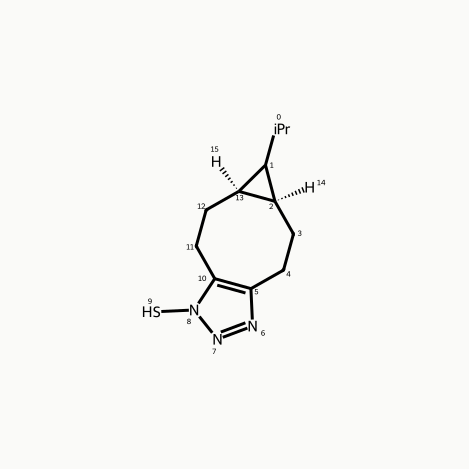 CC(C)C1[C@H]2CCc3nnn(S)c3CC[C@@H]12